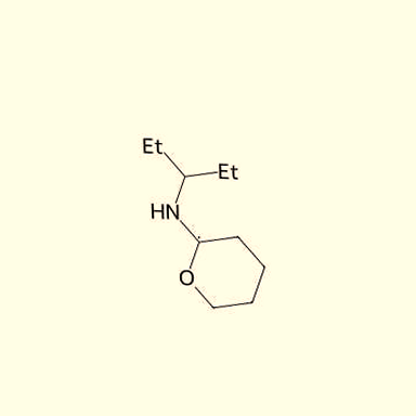 CCC(CC)N[C]1CCCCO1